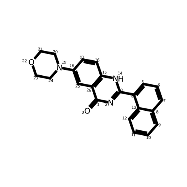 O=c1nc(-c2cccc3ccccc23)[nH]c2ccc(N3CCOCC3)cc12